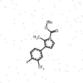 Cc1c(-c2ccc(F)c(C(F)(F)F)c2)ccn1C(=O)OC(C)(C)C